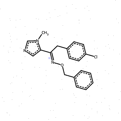 Cn1cncc1/C(Cc1ccc(Cl)cc1)=N/OCc1ccccc1